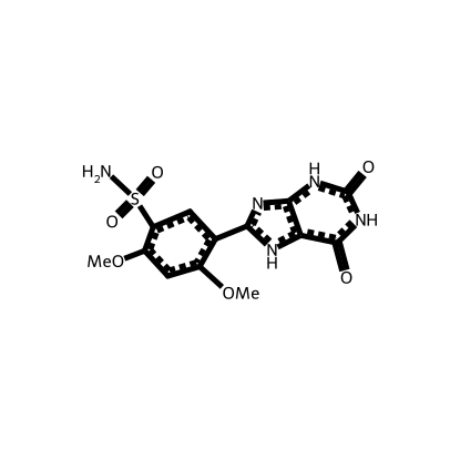 COc1cc(OC)c(S(N)(=O)=O)cc1-c1nc2[nH]c(=O)[nH]c(=O)c2[nH]1